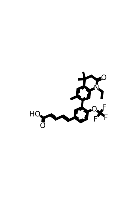 CCN1C(=O)CC(C)(C)c2cc(C)c(-c3cc(C=CC=CC(=O)O)ccc3OC(F)(F)F)cc21